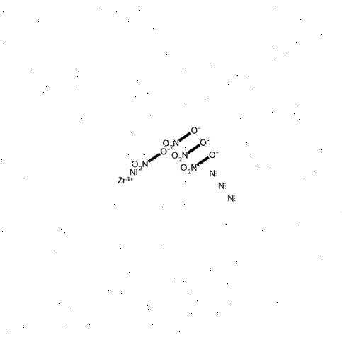 O=[N+]([O-])[O-].O=[N+]([O-])[O-].O=[N+]([O-])[O-].O=[N+]([O-])[O-].[N].[N].[N].[N].[Zr+4]